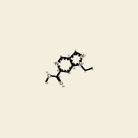 CCn1ncc2cnc(C(=O)OC)cc21